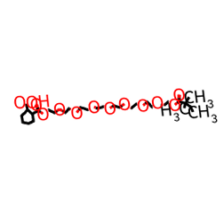 CCC(C)(C)C(=O)OCCOCCOCCOCCOCCOCCOCCOCCOC(=O)C1CCCCC1C(=O)O